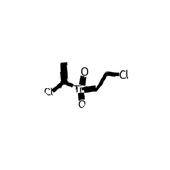 C=[C](Cl)[Ti](=[O])(=[O])=[CH]CCl